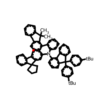 CC(C)(C)c1ccc(C2(c3ccc(C(C)(C)C)cc3)c3ccccc3-c3c(N(c4ccc5c(c4)C4(CCCC4)c4ccccc4-5)c4ccccc4-c4cccc5c4C(C)(C)c4ccccc4-5)cccc32)cc1